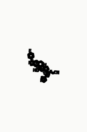 C[C@]12Cc3cnn(-c4ccc(F)cc4)c3C=C1CC[C@@H]1[C@@H]2[C@@H](O)C[C@@]2(C)[C@H]1CC[C@]2(OC(=O)c1ccno1)C(=O)SCC#N